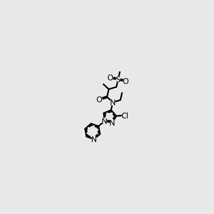 CCN(C(=O)C(C)CS(C)(=O)=O)c1cn(-c2cccnc2)nc1Cl